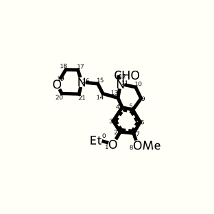 CCOc1cc2c(cc1OC)CCN(C=O)C2CCN1CCOCC1